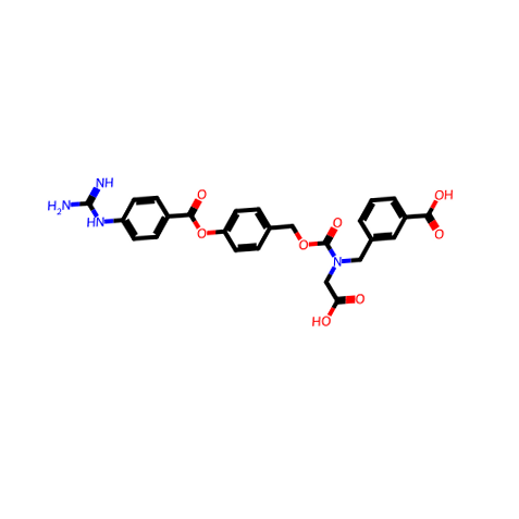 N=C(N)Nc1ccc(C(=O)Oc2ccc(COC(=O)N(CC(=O)O)Cc3cccc(C(=O)O)c3)cc2)cc1